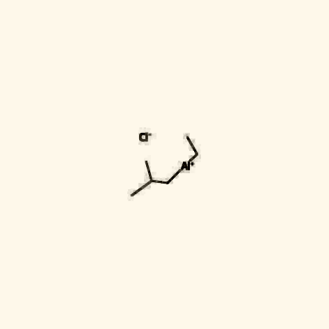 C[CH2][Al+][CH2]C(C)C.[Cl-]